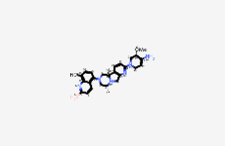 Bc1ccc2c(N3C[C@@H](C)N4Cc5nc(N6CC[C@H](N)[C@@H](OC)C6)ccc5[C@H]4C3)ccc(C#N)c2n1